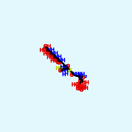 Nc1nc(=O)n(C2CC(O)C(COP(=O)(O)OP(=O)(O)OP(=O)(O)O)O2)cc1C#CCNC(=O)CCSSCC(NC(=O)N[C@H](C=O)CS)C(=O)NCCCCCC(=O)NC(CC(=O)NC(CC(=O)NC(CC(=O)NC(CC(=O)O)C(=O)O)C(=O)O)C(=O)O)C(=O)O